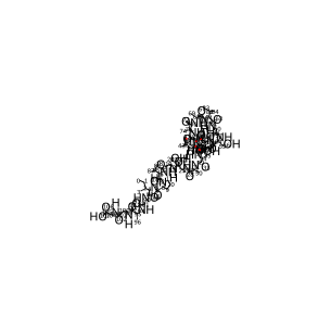 CC[C@H](C)[C@H](NC(=O)[C@@H]1CCCN1C(=O)[C@@H](NC(=O)[C@H](CO)NC(=O)CNC(=O)[C@H](C)NC(=O)[C@H](CO)NC(=O)[C@H](CC(C)C)NC(=O)[C@H](CO)NC(=O)[C@H](CO)NC(=O)CNC(=O)[C@@H](NC(=O)[C@H](C)NC(=O)[C@H](C)NC(=O)[C@@H](N)CO)C(C)C)C(C)C)C(=O)NCC(=O)N[C@@H](C)C(=O)NCC(=O)NCC(=O)O